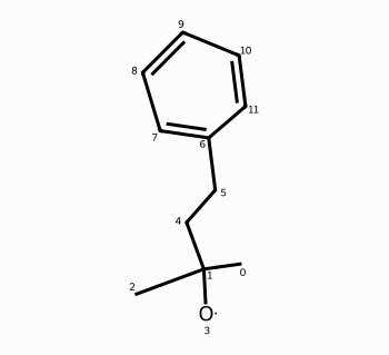 CC(C)([O])CCc1ccccc1